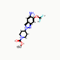 CC(C)(C)OC(=O)N1CCC(n2cc3cc(N)c(OC(F)F)cc3n2)CC1